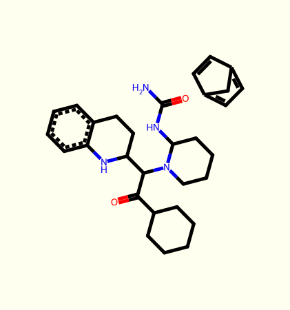 C1=CC2=CC=C1C2.NC(=O)NC1CCCCN1C(C(=O)C1CCCCC1)C1CCc2ccccc2N1